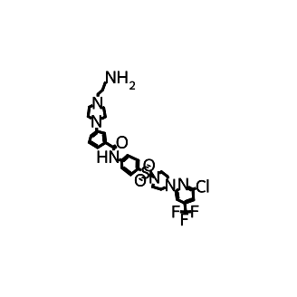 NCCCN1CCN(c2cccc(C(=O)Nc3ccc(S(=O)(=O)N4CCN(c5cc(C(F)(F)F)cc(Cl)n5)CC4)cc3)c2)CC1